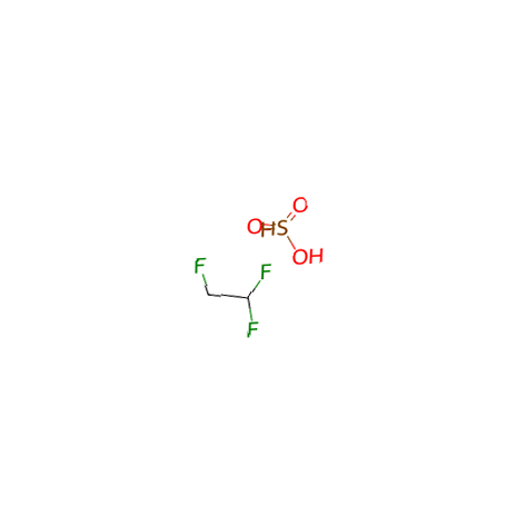 FCC(F)F.O=[SH](=O)O